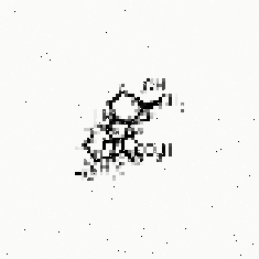 C=C1C[C@]23C[C@@]1(O)CC[C@H]2[C@@]12CC[C@H](O)[C@](C)(C(=O)O1)[C@H]2[C@@H]3C(=O)O